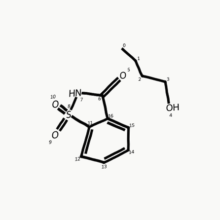 CCCCO.O=C1NS(=O)(=O)c2ccccc21